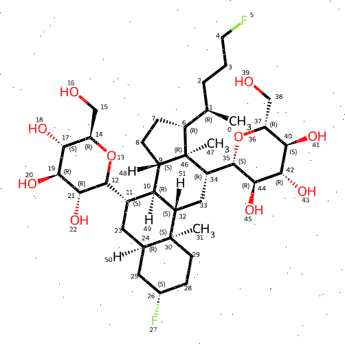 C[C@H](CCCF)[C@H]1CC[C@H]2[C@@H]3[C@@H](C4O[C@H](CO)[C@@H](O)[C@H](O)[C@H]4O)C[C@@H]4C[C@@H](F)CC[C@]4(C)[C@H]3C[C@@H]([C@@H]3O[C@H](CO)[C@@H](O)[C@H](O)[C@H]3O)[C@]12C